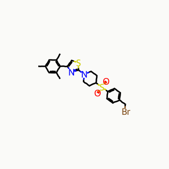 Cc1cc(C)c(-c2csc(N3CCC(S(=O)(=O)c4ccc(CBr)cc4)CC3)n2)c(C)c1